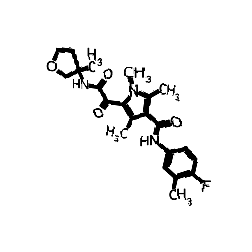 Cc1cc(NC(=O)c2c(C)c(C(=O)C(=O)NC3(C)CCOC3)n(C)c2C)ccc1F